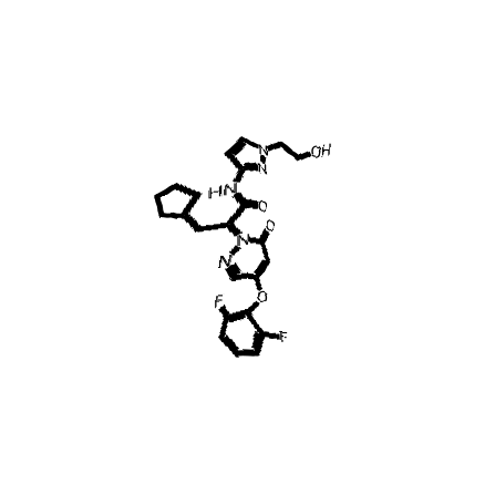 O=C(Nc1ccn(CCO)n1)C(CC1CCCC1)n1ncc(Oc2c(F)cccc2F)cc1=O